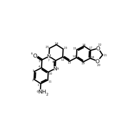 Nc1ccc2c(=O)n3c(nc2c1)C(=Cc1ccc2c(c1)OCO2)CCC3